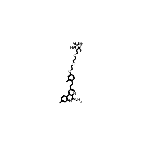 Cc1ccc2c(c1)nc(N)c1ncc(CCc3ccc(OCCOCCOCCC(F)(F)P(=O)(O)O)cc3C)cc12